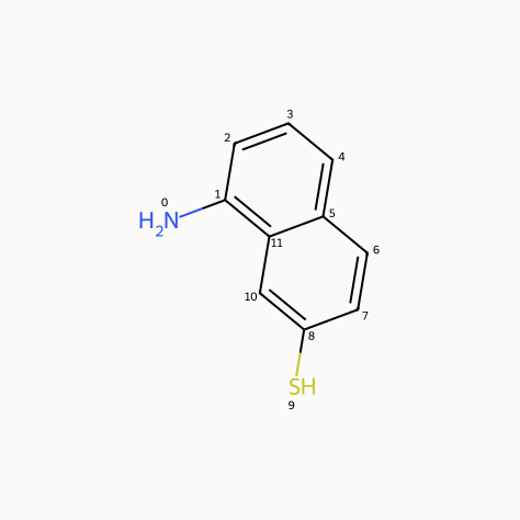 Nc1cccc2ccc(S)cc12